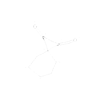 O=C1C(=O)C12CCCCC2